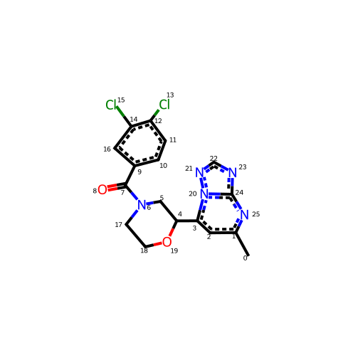 Cc1cc(C2CN(C(=O)c3ccc(Cl)c(Cl)c3)CCO2)n2ncnc2n1